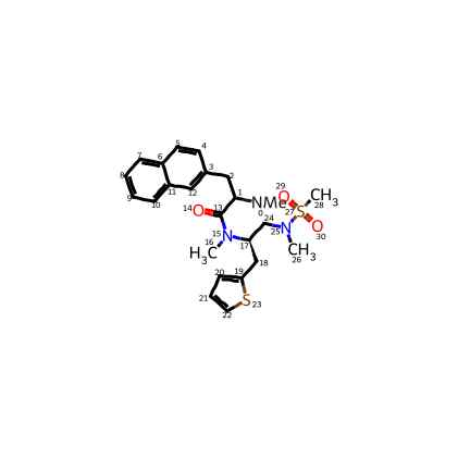 CNC(Cc1ccc2ccccc2c1)C(=O)N(C)[C@H](Cc1cccs1)CN(C)S(C)(=O)=O